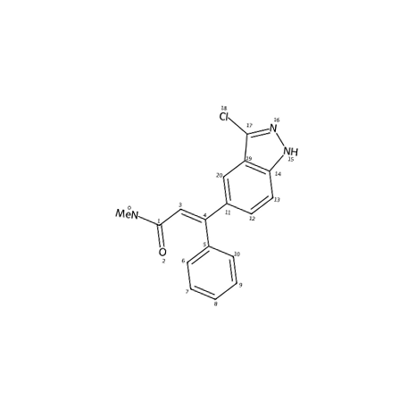 CNC(=O)C=C(c1ccccc1)c1ccc2[nH]nc(Cl)c2c1